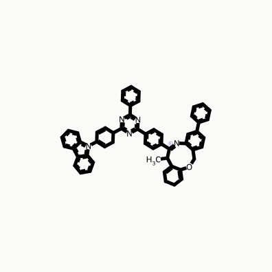 CC1C2=CCCC=C2OCc2ccc(-c3ccccc3)cc2/N=C\1c1ccc(-c2nc(-c3ccccc3)nc(C3C=CC(n4c5ccccc5c5ccccc54)=CC3)n2)cc1